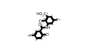 O=C(Nc1cc(F)cc(C(=O)O)c1Cl)c1cc(F)ccc1Cl